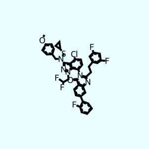 COc1ccc(CN(SC2CC2)c2nn(CC(F)F)c3c(-n4c(CCc5cc(F)cc(F)c5)nc5cc(-c6ccccc6F)ccc5c4=O)ccc(Cl)c23)cc1